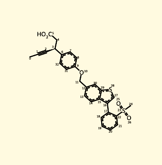 CC#C[C@@H](CC(=O)O)c1ccc(OCc2ccc3c(-c4ccccc4S(C)(=O)=O)csc3c2)cc1